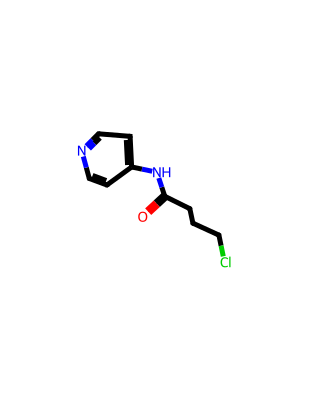 O=C(CCCCl)Nc1ccncc1